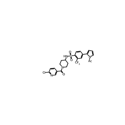 CC(=O)n1cccc1-c1ccc(S(=O)(=O)NC2CCN(C(=O)c3ccc(Cl)nc3)CC2)c(C(F)(F)F)c1